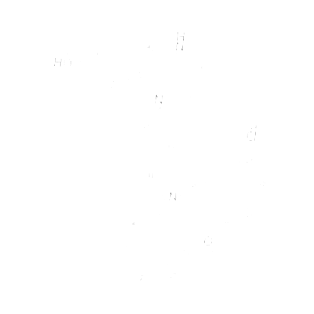 OCCC1CNCCN1CCCN1c2ccccc2Oc2ccc(Cl)cc21